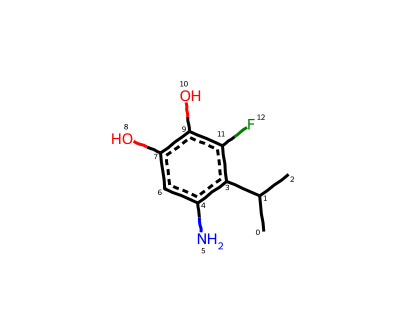 CC(C)c1c(N)cc(O)c(O)c1F